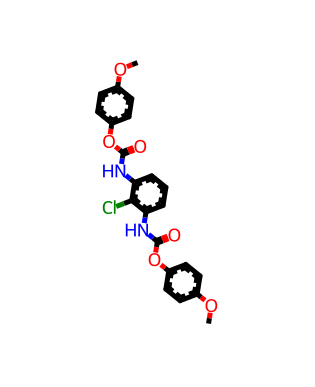 COc1ccc(OC(=O)Nc2cccc(NC(=O)Oc3ccc(OC)cc3)c2Cl)cc1